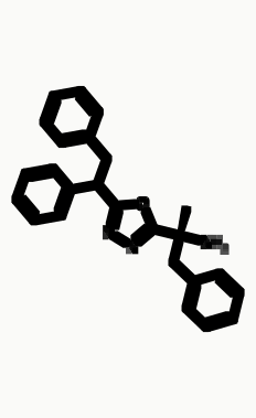 C[C@@](N)(Cc1ccccc1)c1nnc(C(Cc2ccccc2)c2ccccc2)o1